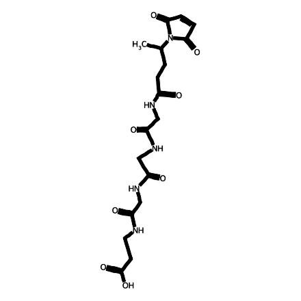 CC(CCC(=O)NCC(=O)NCC(=O)NCC(=O)NCCC(=O)O)N1C(=O)C=CC1=O